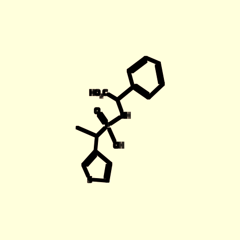 CC(c1ccsc1)P(=O)(O)NC(C(=O)O)c1ccccc1